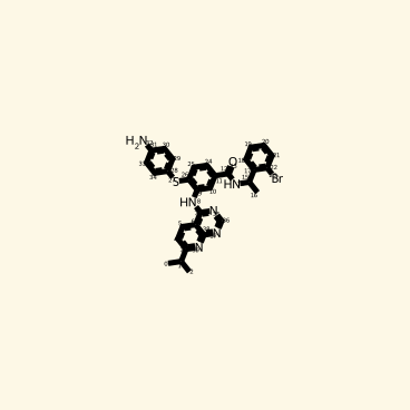 CC(C)c1ccc2c(Nc3cc(C(=O)NC(C)c4ccccc4Br)ccc3Sc3ccc(N)cc3)ncnc2n1